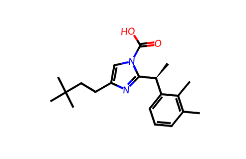 Cc1cccc([C@H](C)c2nc(CCC(C)(C)C)cn2C(=O)O)c1C